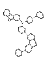 c1ccc(-c2ccc(N(c3cccc(-c4ccc5ccc6ccc(-c7ccccc7)cc6c5c4)c3)c3ccc4c(c3)oc3ccccc34)cc2)cc1